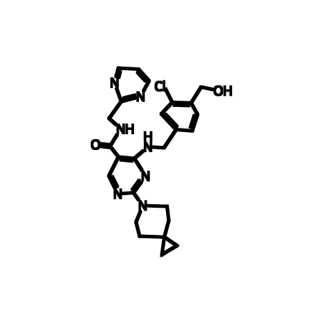 O=C(NCc1ncccn1)c1cnc(N2CCC3(CC2)CC3)nc1NCc1ccc(CO)c(Cl)c1